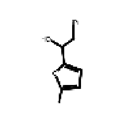 Cc1ccc(C(O)CC(C)C)o1